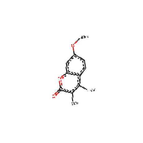 CCCCCCCCCCOc1ccc2c(OC(C)=O)c(OC(C)=O)c(=O)oc2c1